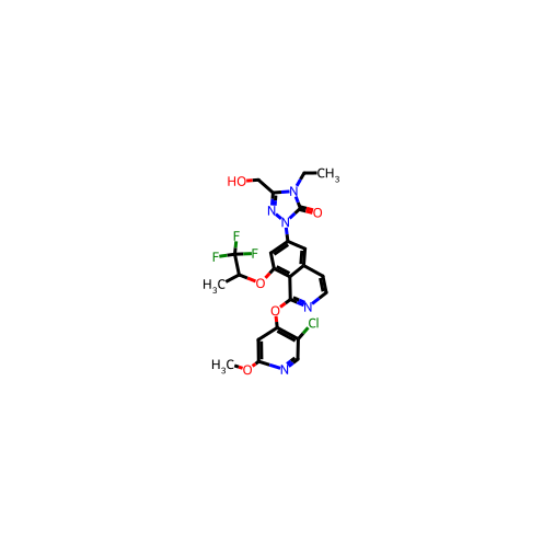 CCn1c(CO)nn(-c2cc(OC(C)C(F)(F)F)c3c(Oc4cc(OC)ncc4Cl)nccc3c2)c1=O